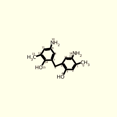 Cc1cc(O)c(Cc2cc(N)cc(C)c2O)cc1N